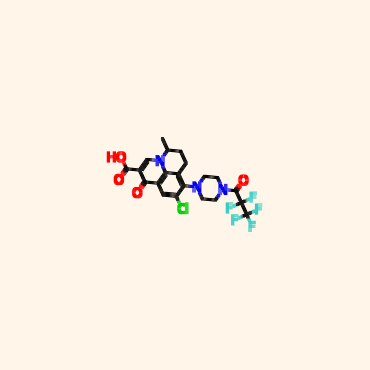 CC1CCc2c(N3CCN(C(=O)C(F)(F)C(F)(F)F)CC3)c(Cl)cc3c(=O)c(C(=O)O)cn1c23